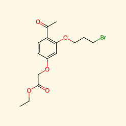 CCOC(=O)COc1ccc(C(C)=O)c(OCCCBr)c1